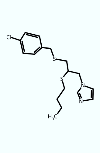 CCCCSC(CSCc1ccc(Cl)cc1)Cn1ccnc1